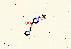 CC(C)(C)OC(=O)N1CCC(C(O)OCCN2CCCC2)CC1